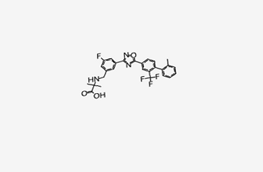 Cc1ccccc1-c1ccc(-c2nc(-c3cc(F)cc(CNC(C)(C)C(=O)O)c3)no2)cc1C(F)(F)F